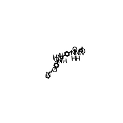 Cc1cc(NC(=O)NCc2ccc(-c3cc(NC(=O)c4ccc(OCCCN5CCCC5)cc4)[nH]n3)cc2)no1